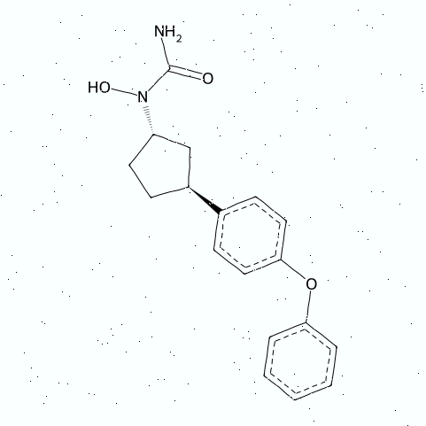 NC(=O)N(O)[C@H]1CC[C@H](c2ccc(Oc3ccccc3)cc2)C1